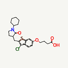 O=C(O)CCCOc1ccc2c(Cl)c(CC3CCN(C4CCCCC4)C3=O)sc2c1